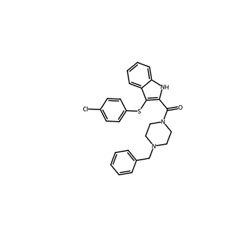 O=C(c1[nH]c2ccccc2c1Sc1ccc(Cl)cc1)N1CCN(Cc2ccccc2)CC1